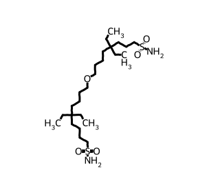 CCC(CC)(CCCCOCCCCC(CC)(CC)CCCS(N)(=O)=O)CCCCS(N)(=O)=O